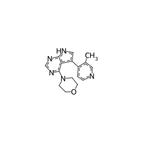 Cc1cnccc1-c1c[nH]c2ncnc(N3CCOCC3)c12